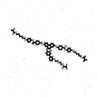 C=C(C)C(=O)OCCCCCCOc1ccc(OC(=O)C2CCC(COc3ccc4c5ccc(OCC6CCC(C(=O)Oc7ccc(OCCCCCCOC(=O)C(=C)F)cc7)CC6)cc5c5nc6ccc(-c7cccc(OCCOCCOC(=O)C(=C)F)c7)cc6nc5c4c3)CC2)cc1